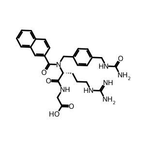 N=C(N)NCCC[C@H](C(=O)NCC(=O)O)N(Cc1ccc(CNC(N)=O)cc1)C(=O)c1ccc2ccccc2c1